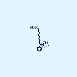 CCCCCCCCCCCCCCCCCCc1c2ccccc2[se][n+]1C